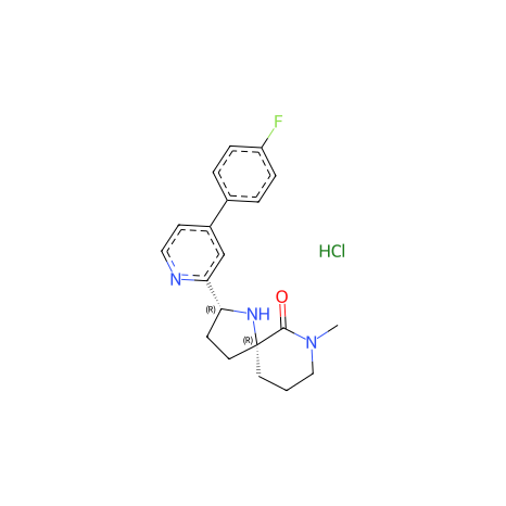 CN1CCC[C@@]2(CC[C@H](c3cc(-c4ccc(F)cc4)ccn3)N2)C1=O.Cl